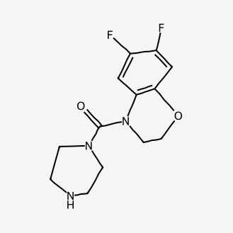 O=C(N1CCNCC1)N1CCOc2cc(F)c(F)cc21